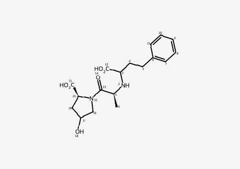 C[C@H](NC(CCc1ccccc1)C(=O)O)C(=O)N1CC(O)C[C@H]1C(=O)O